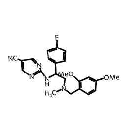 COc1ccc(CN(C)CC(Nc2ncc(C#N)cn2)c2ccc(F)cc2)c(OC)c1